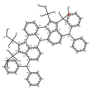 CCC(C)(C)c1c(C(C)(C)CC)n2c3c(ccc(N(c4ccccc4)c4ccccc4)c13)B1c3c-2cccc3-n2c(C(C)(C)CC)c(C(C)(C)CC)c3c(N(c4ccccc4)c4ccccc4)ccc1c32